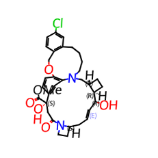 COC(=O)[C@]1(O)CC(=O)N2CC[C@@H]2C/C=C/[C@H](O)[C@@H]2CC[C@H]2CN2CCCCc3cc(Cl)ccc3COc3ccc1cc32